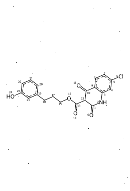 O=C1Nc2cc(Cl)ccc2C(=O)C1C(=O)OCCCc1cccc(O)c1